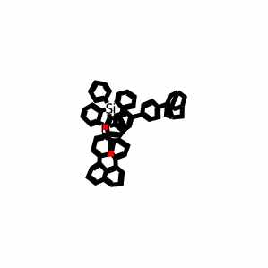 c1ccc(-c2cccc3cccc(-c4ccc(N(c5ccc(-c6ccc(C78CC9CC(CC(C9)C7)C8)cc6)cc5)c5ccccc5[Si]5(c6ccccc6)c6ccccc6-c6ccccc65)cc4)c23)cc1